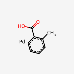 Cc1ccccc1C(=O)O.[Pd]